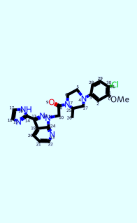 COc1cc(N2CCN(C(=O)Cn3nc(-c4ncc[nH]4)c4cccnc43)C(C)C2)ccc1Cl